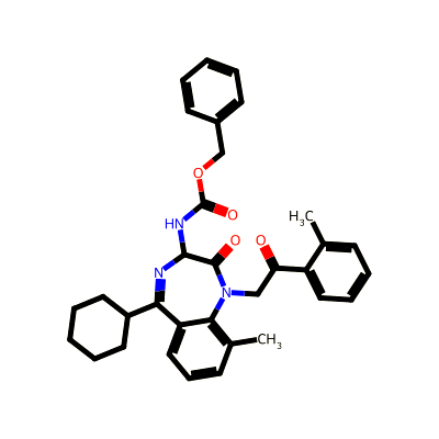 Cc1ccccc1C(=O)CN1C(=O)C(NC(=O)OCc2ccccc2)N=C(C2CCCCC2)c2cccc(C)c21